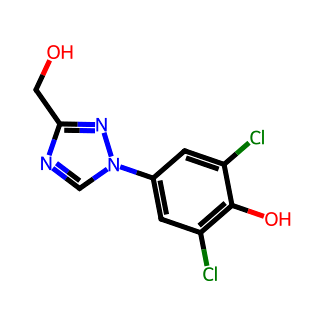 OCc1ncn(-c2cc(Cl)c(O)c(Cl)c2)n1